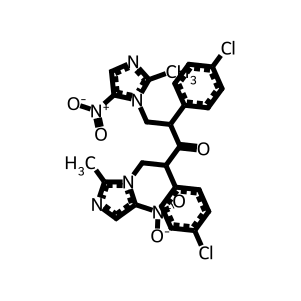 Cc1ncc([N+](=O)[O-])n1CC(C(=O)C(Cn1c([N+](=O)[O-])cnc1C)c1ccc(Cl)cc1)c1ccc(Cl)cc1